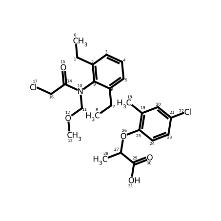 CCc1cccc(CC)c1N(COC)C(=O)CCl.Cc1cc(Cl)ccc1OC(C)C(=O)O